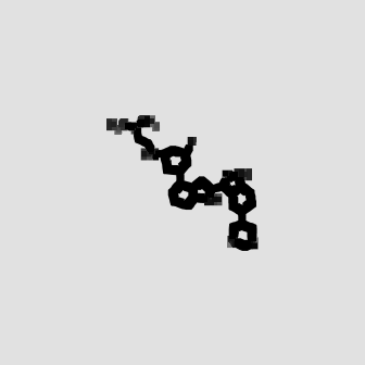 CN(C)CCNc1cc(F)cc(-c2cccc3[nH]c(-c4n[nH]c5ccc(-c6cncnc6)cc45)cc23)c1